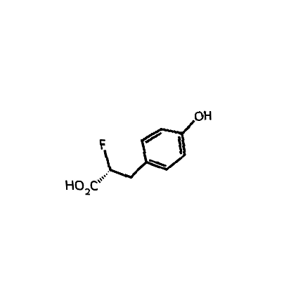 O=C(O)[C@H](F)Cc1ccc(O)cc1